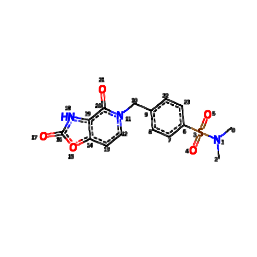 CN(C)S(=O)(=O)c1ccc(Cn2ccc3oc(=O)[nH]c3c2=O)cc1